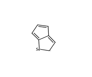 [CH]1C=C2C=CC=C2[Se]1